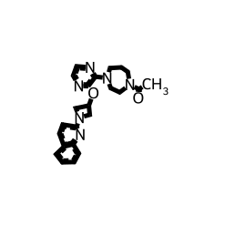 CC(=O)N1CCCN(c2nccnc2OC2CN(c3ccc4ccccc4n3)C2)CC1